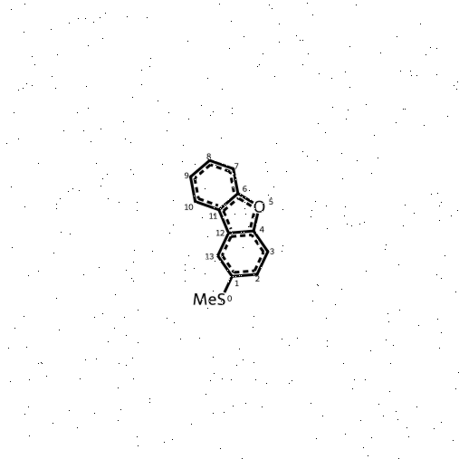 CSc1ccc2oc3ccccc3c2c1